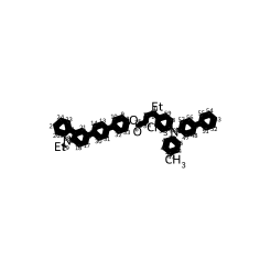 CCC(CC(C)C(=O)Oc1ccc(-c2ccc(-c3ccc4c(c3)c3ccccc3n4CC)cc2)cc1)c1ccc(N(c2ccc(C)cc2)c2ccc(-c3ccccc3)cc2)cc1